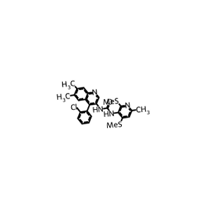 CSc1cc(C)nc(SC)c1NC(=O)Nc1cnc2cc(C)c(C)cc2c1-c1ccccc1Cl